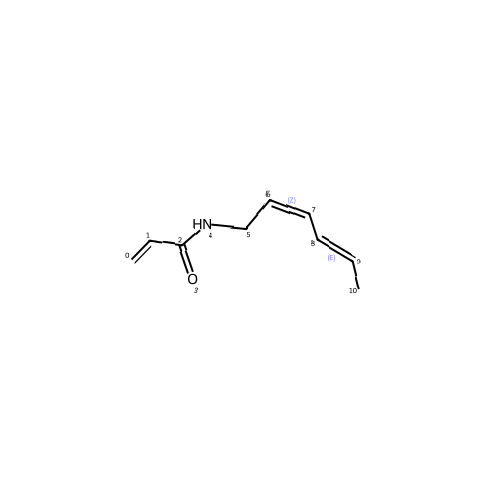 C=CC(=O)NC/C=C\C=C\C